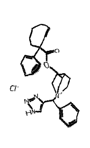 O=C(OC1C[N+]2(C(c3ccccc3)c3c[nH]nn3)CCC1CC2)C1(c2ccccc2)CCCCCC1.[Cl-]